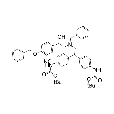 CC(C)(C)OC(=O)Nc1ccc(C(CN(Cc2ccccc2)CC(O)c2ccc(OCc3ccccc3)c([N+](=O)[O-])c2)c2ccc(NC(=O)OC(C)(C)C)cc2)cc1